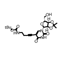 CC(C)(C)OC(=O)NCCC#Cc1cn([C@@H]2O[C@H](CO)[C@H]3OC(C)(C)O[C@H]32)c(=O)[nH]c1=O